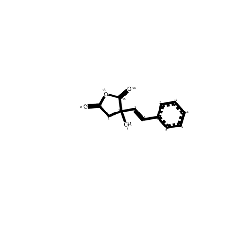 O=C1CC(O)(C=Cc2ccccc2)C(=O)O1